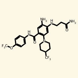 NC(=O)CCNc1cc(N2CCC(C(F)(F)F)CC2)c(C(=O)Nc2ccc(OC(F)(F)F)cc2)cc1N